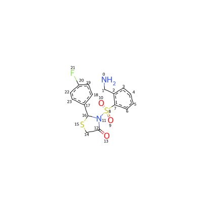 NCc1ccccc1S(=O)(=O)N1C(=O)CSC1c1ccc(F)cc1